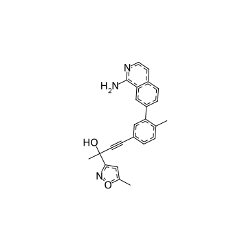 Cc1cc(C(C)(O)C#Cc2ccc(C)c(-c3ccc4ccnc(N)c4c3)c2)no1